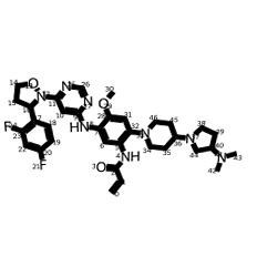 C=CC(=O)Nc1cc(Nc2cc(N3OCCC3c3ccc(F)cc3F)ncn2)c(OC)cc1N1CCC(N2CCC(N(C)C)C2)CC1